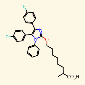 CC(CCCCCCOc1nc(-c2ccc(F)cc2)c(-c2ccc(F)cc2)n1-c1ccccc1)C(=O)O